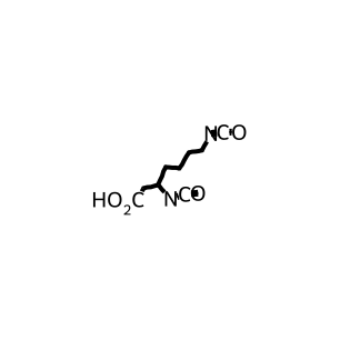 O=C=NCCCCC(CC(=O)O)N=C=O